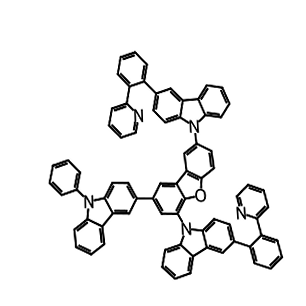 c1ccc(-n2c3ccccc3c3cc(-c4cc(-n5c6ccccc6c6cc(-c7ccccc7-c7ccccn7)ccc65)c5oc6ccc(-n7c8ccccc8c8cc(-c9ccccc9-c9ccccn9)ccc87)cc6c5c4)ccc32)cc1